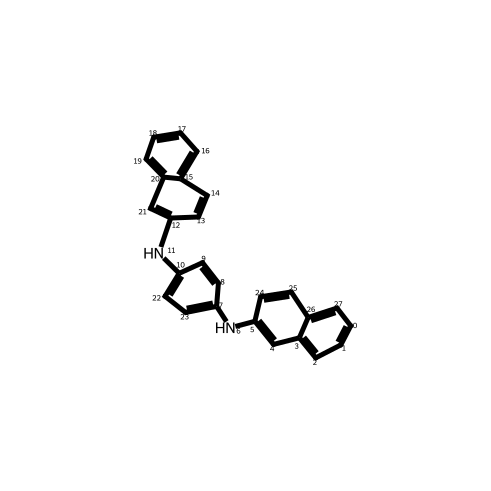 c1ccc2cc(Nc3ccc(Nc4ccc5ccccc5c4)cc3)ccc2c1